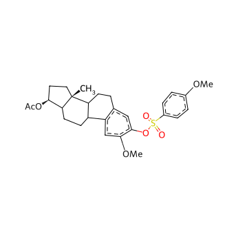 COc1ccc(S(=O)(=O)Oc2cc3c(cc2OC)C2CCC4[C@@H](OC(C)=O)CC[C@]4(C)C2CC3)cc1